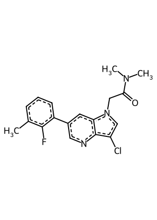 Cc1cccc(-c2cnc3c(Cl)cn(CC(=O)N(C)C)c3c2)c1F